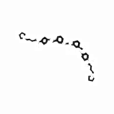 O=C(CCCN1CCCC1)Nc1ccc(NC(=O)c2cccc(NC(=O)Nc3cccc(C(=O)Nc4ccc(NC(=O)CCCN5CCCC5)cc4)c3)c2)cc1